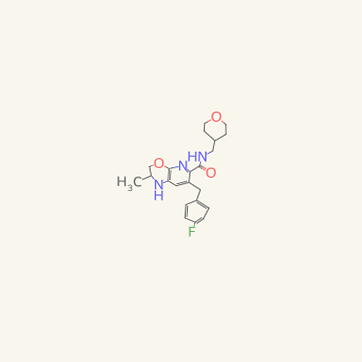 CC1COc2nc(C(=O)NCC3CCOCC3)c(Cc3ccc(F)cc3)cc2N1